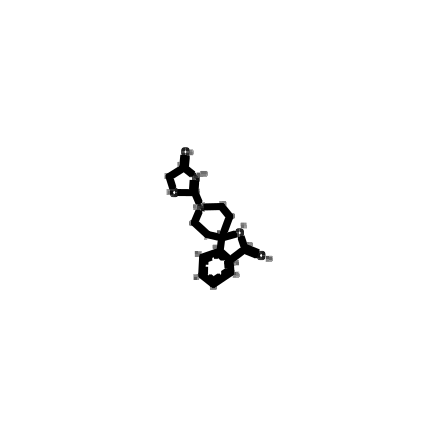 O=C1COC(N2CCC3(CC2)OC(=O)c2ccccc23)=N1